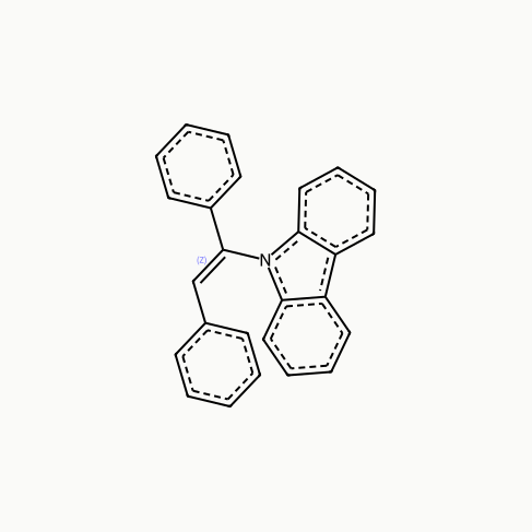 C(=C(\c1ccccc1)n1c2ccccc2c2ccccc21)/c1ccccc1